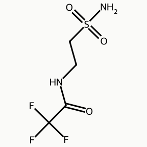 NS(=O)(=O)CCNC(=O)C(F)(F)F